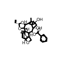 C=C[C@@H]1O[C@@H]2C3=C(C)[C@@H](O)C[C@@](O)([C@@H](OC(=O)c4ccccc4)[C@H]4C(C)(C=C[C@H]5OC[C@]54OC(C)=O)[C@@H]2O1)C3(C)C